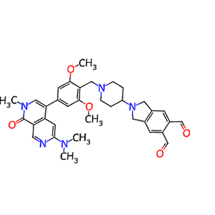 COc1cc(-c2cn(C)c(=O)c3cnc(N(C)C)cc23)cc(OC)c1CN1CCC(N2Cc3cc(C=O)c(C=O)cc3C2)CC1